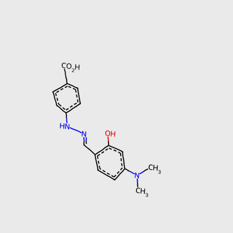 CN(C)c1ccc(C=NNc2ccc(C(=O)O)cc2)c(O)c1